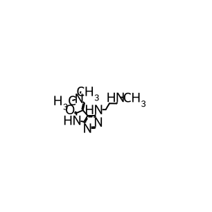 CNCCCNc1ncnc2c1/C(=C/N(C)C)C(=O)N2